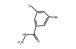 NNC(=O)c1cc(Cl)cc(Br)c1